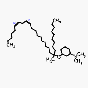 CCCCC/C=C\C/C=C\CCCCCCCCCC(C)(CCCCCCCCC)OC1CCCC(N(C)C)C1